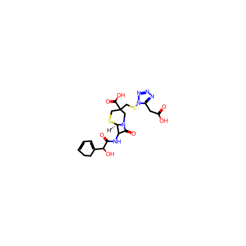 O=C(O)Cc1nnnn1SCC1(C(=O)O)CS[C@@H]2C(NC(=O)C(O)C3=CC=CCC3)C(=O)N2C1